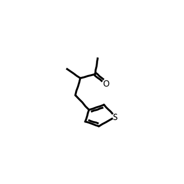 CC(=O)C(C)Cc1ccsc1